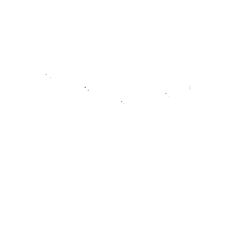 CC(=O)[C@H](NC(=O)N1CCN(C)CC1)c1ccccc1